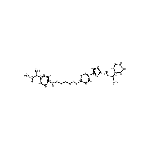 CC(CNc1nc(-c2ccc(OCCCCCOc3ccc(C(=N)NO)cc3)cc2)cs1)N1CCOCC1